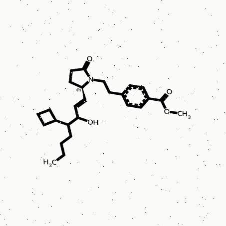 CCCCC(C(O)C=C[C@H]1CCC(=O)N1CCc1ccc(C(=O)OC)cc1)C1CCC1